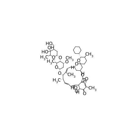 CO[C@@H]1C[C@H](O[C@@H]2/C(C)=C/C[C@@H]3C[C@@H](CC4(CC[C@H](C)[C@@H](C5CCCCC5)O4)O3)OC(=O)[C@@H]3C=C(C)C(=O)[C@H]4OC/C(=C\C=C\[C@@H]2C)[C@]43O)OC(C)[C@@H]1O[C@H]1C[C@@H](CO)C(O)(O)C(C)O1